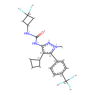 Cn1nc(NC(=O)NC2CC(F)(F)C2)c(C2CCC2)c1-c1ccc(C(F)(F)F)cc1